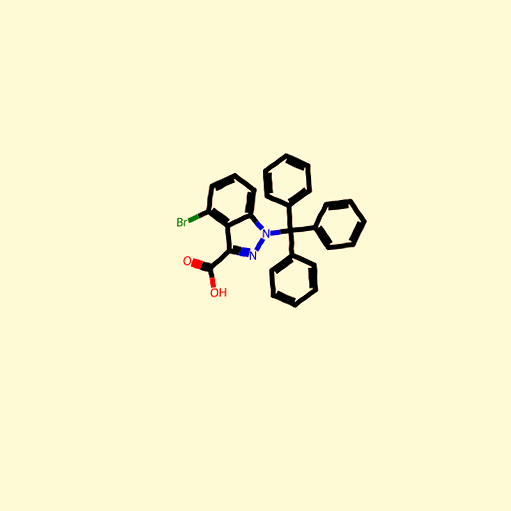 O=C(O)c1nn(C(c2ccccc2)(c2ccccc2)c2ccccc2)c2cccc(Br)c12